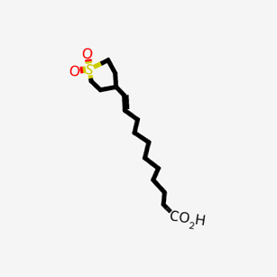 O=C(O)CCCCCCCCC=CC1CCS(=O)(=O)CC1